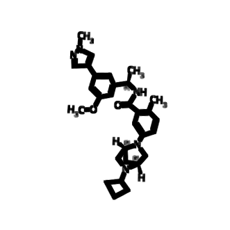 COc1cc(-c2cnn(C)c2)cc([C@@H](C)NC(=O)c2cc(N3C[C@H]4C[C@@H]3CN4C3CCC3)ccc2C)c1